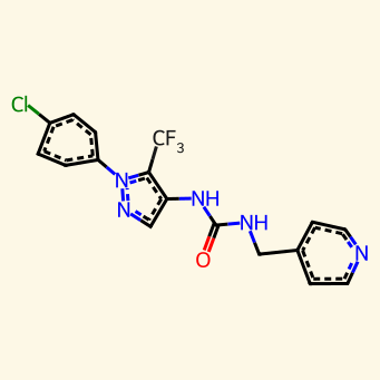 O=C(NCc1ccncc1)Nc1cnn(-c2ccc(Cl)cc2)c1C(F)(F)F